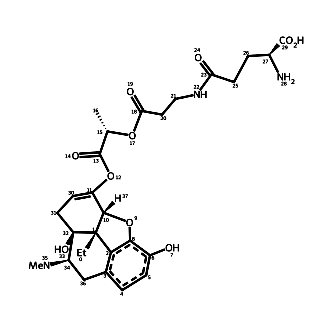 CC[C@]12c3c4ccc(O)c3O[C@H]1C(OC(=O)[C@H](C)OC(=O)CCNC(=O)CC[C@H](N)C(=O)O)=CC[C@@]2(O)[C@H](NC)C4